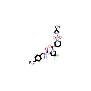 N#CC1CN(S(=O)(=O)N2CCC[C@H](C(=O)N3CC(F)(F)C[C@@H]3C(=O)NCc3ccc(C(F)(F)F)cc3)C2)C1